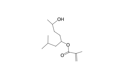 C=C(C)C(=O)OC(CCC(C)O)CC(C)C